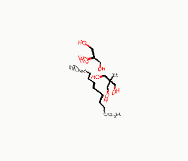 CCC(CO)(CO)CO.CCCCCCCCCCCCCCCCCC(=O)O.OCC(O)CO